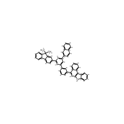 CC1(C)c2ccccc2-c2ccc(-c3nc(-c4cccc(-c5nc6oc7ccccc7c6c6ccccc56)c4)cc(-c4ccc5ccccc5c4)n3)cc21